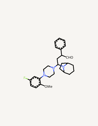 COc1ccc(F)cc1N1CCN(C(CC(C=O)c2ccccc2)N2C3CCCC2CC3)CC1